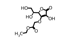 CCOC(=O)COC1=C(O)C(=O)O[C@@H]1[C@@H](O)CO